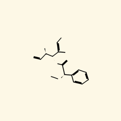 C=C[C@@H](C)[C@@H](OC(=O)[C@H](OC)c1ccccc1)/C(C)=C/I